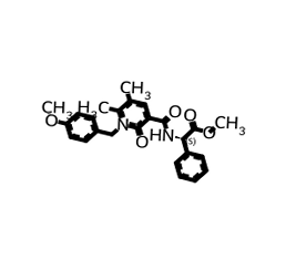 COC(=O)[C@@H](NC(=O)c1cc(C)c(C)n(Cc2ccc(OC)cc2)c1=O)c1ccccc1